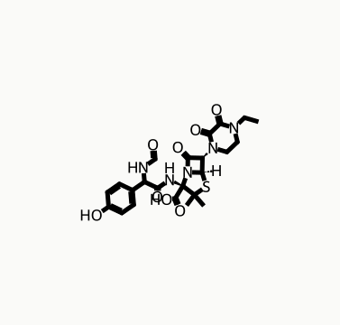 CCN1CCN([C@H]2C(=O)N3[C@@H]2SC(C)(C)[C@]3(NC(=O)C(NC=O)c2ccc(O)cc2)C(=O)O)C(=O)C1=O